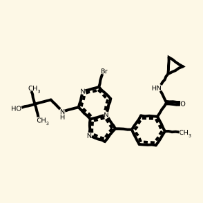 Cc1ccc(-c2cnc3c(NCC(C)(C)O)nc(Br)cn23)cc1C(=O)NC1CC1